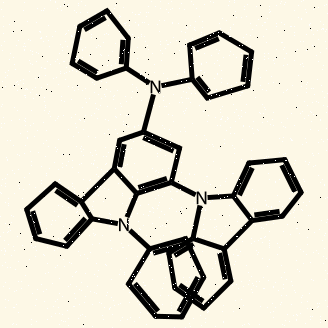 c1ccc(N(c2ccccc2)c2cc(-n3c4ccccc4c4ccccc43)c3c(c2)c2ccccc2n3-c2ccccc2)cc1